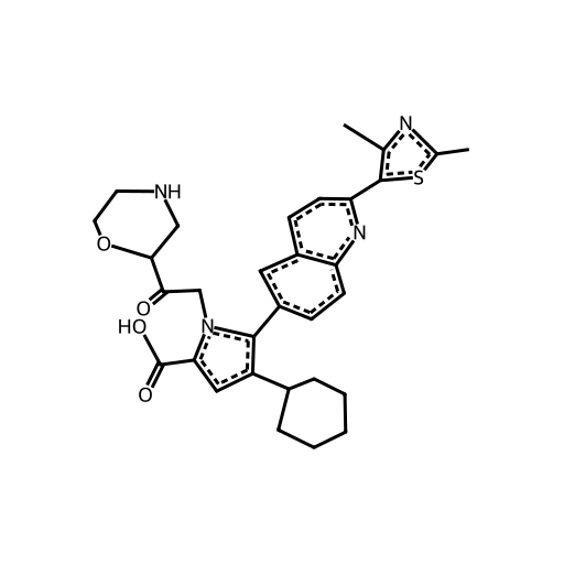 Cc1nc(C)c(-c2ccc3cc(-c4c(C5CCCCC5)cc(C(=O)O)n4CC(=O)C4CNCCO4)ccc3n2)s1